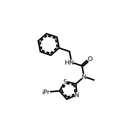 CC(C)c1cnc(N(C)C(=O)NCc2ccccc2)s1